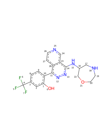 Oc1cc(C(F)(F)F)ccc1-c1nnc(NC2CNCCOC2)c2cnccc12